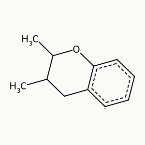 CC1Cc2[c]cccc2OC1C